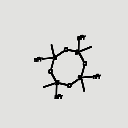 CCC[Si]1(C)O[Si](C)(CCC)O[Si](C)(CCC)O[Si](C)(CCC)O1